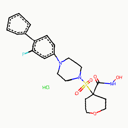 Cl.O=C(NO)C1(S(=O)(=O)N2CCN(c3ccc(-c4ccccc4)c(F)c3)CC2)CCOCC1